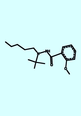 CCCCCN(NC(=O)c1ccccc1OC)C(C)(C)C